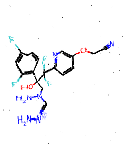 N#CCOc1ccc(C(F)(F)C(O)(CN(N)/C=N\N)c2ccc(F)cc2F)nc1